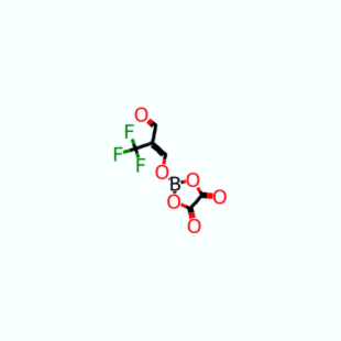 O=CC(=COB1OC(=O)C(=O)O1)C(F)(F)F